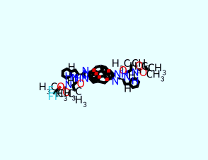 CC(C)[C@H](NC(=O)OC(C)(C)C)C(=O)N1[C@H](c2nc3cc(-c4cc5ccc4CCc4ccc(c(-c6ccc7[nH]c([C@@H]8C[C@@H]9CCCC[C@@H]9N8C(=O)[C@@H](NC(=O)OC(C)(C)C(F)(F)F)C(C)C)nc7c6)c4)CC5)ccc3[nH]2)C[C@@H]2CCCC[C@@H]21